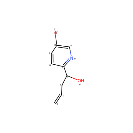 C=CCC(O)c1ccc(Br)cn1